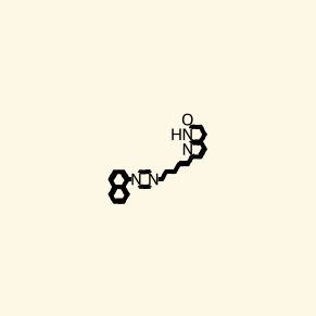 O=C1CCc2ccc(C=CCCCN3CCN(c4cccc5ccccc45)CC3)nc2N1